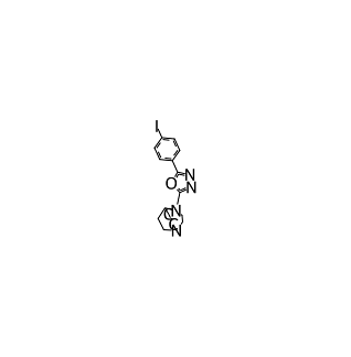 Ic1ccc(-c2nnc(N3CCN4CCC3CC4)o2)cc1